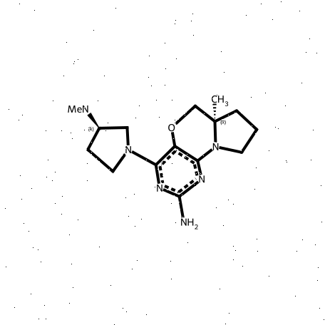 CN[C@@H]1CCN(c2nc(N)nc3c2OC[C@@]2(C)CCCN32)C1